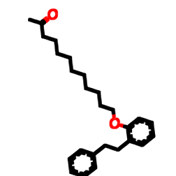 CC(=O)CCCCCCCCCCOc1ccccc1CCc1ccccc1